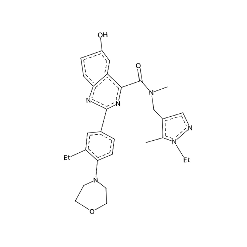 CCc1cc(-c2nc(C(=O)N(C)Cc3cnn(CC)c3C)c3cc(O)ccc3n2)ccc1N1CCOCC1